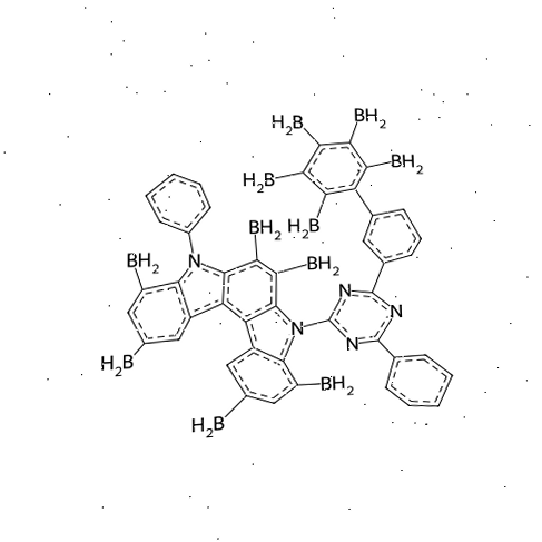 Bc1cc(B)c2c(c1)c1c3c4cc(B)cc(B)c4n(-c4nc(-c5ccccc5)nc(-c5cccc(-c6c(B)c(B)c(B)c(B)c6B)c5)n4)c3c(B)c(B)c1n2-c1ccccc1